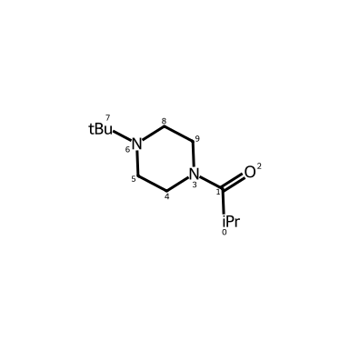 CC(C)C(=O)N1CCN(C(C)(C)C)CC1